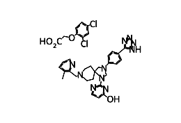 Cc1cccnc1CN1CCC2(CC1)CN(c1ccc(-c3nnn[nH]3)cc1)CN2c1nccc(O)n1.O=C(O)COc1ccc(Cl)cc1Cl